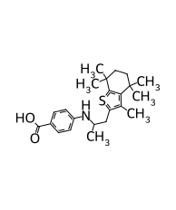 Cc1c(CC(C)Nc2ccc(C(=O)O)cc2)sc2c1C(C)(C)CCC2(C)C